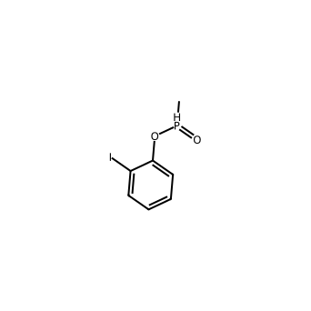 C[PH](=O)Oc1ccccc1I